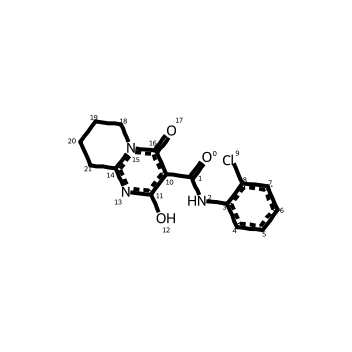 O=C(Nc1ccc[c]c1Cl)c1c(O)nc2n(c1=O)CCCC2